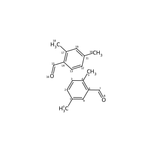 Cc1ccc(C)c(C=O)c1.Cc1ccc(C=O)c(C)c1